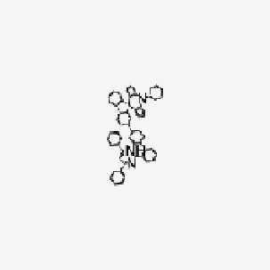 C1=C(c2ccccc2)NC(c2ccccc2-c2ccc(-c3ccc4c(c3)C3(c5ccccc5-4)c4ccccc4N(c4ccccc4)c4ccccc43)cc2)N=C1c1ccccc1